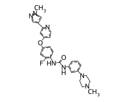 CN1CCN(c2cccc(NC(=O)Nc3ccc(Oc4ccnc(-c5cnn(C)c5)c4)cc3F)c2)CC1